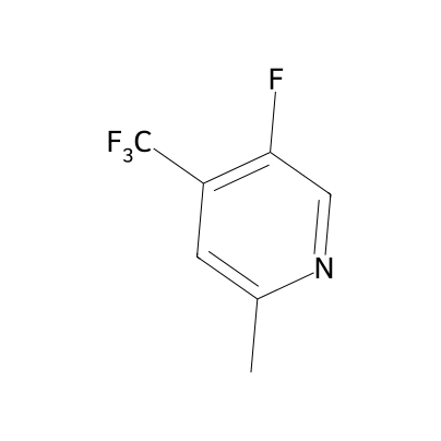 Cc1cc(C(F)(F)F)c(F)cn1